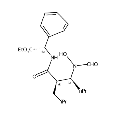 CCC[C@@H]([C@@H](CC(C)C)C(=O)N[C@H](C(=O)OCC)c1ccccc1)N(O)C=O